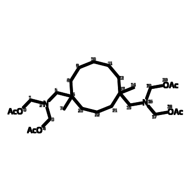 CC(=O)OCN(COC(C)=O)CC1(C)CCCCCC(C)(CN(COC(C)=O)COC(C)=O)CCC1